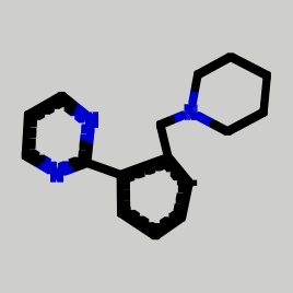 [c]1cccc(-c2ncccn2)c1CN1CCCCC1